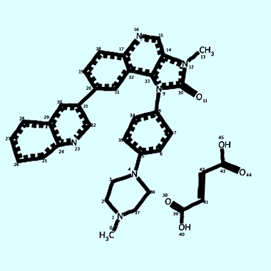 CN1CCN(c2ccc(-n3c(=O)n(C)c4cnc5ccc(-c6cnc7ccccc7c6)cc5c43)cc2)CC1.O=C(O)C=CC(=O)O